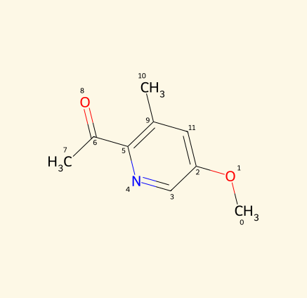 COc1cnc(C(C)=O)c(C)c1